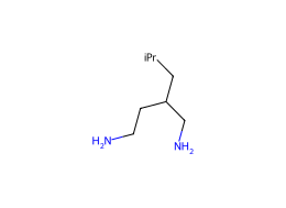 CC(C)CC(CN)CCN